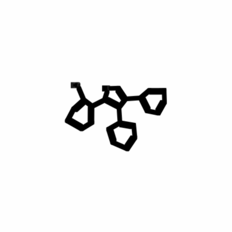 Oc1ccccc1-c1[pH]cc(-c2ccccc2)c1-c1ccccc1